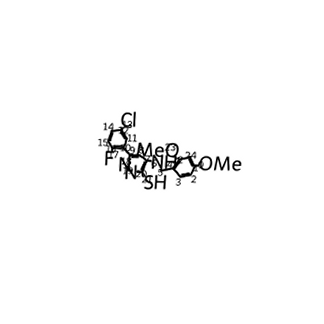 COc1ccc(CNc2cc(-c3cc(Cl)ccc3F)nnc2S)c(OC)c1